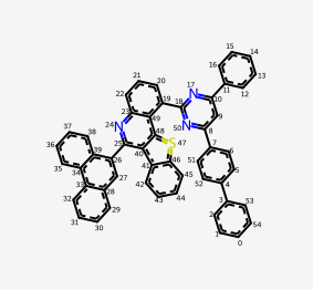 c1ccc(-c2ccc(-c3cc(-c4ccccc4)nc(-c4cccc5nc(-c6cc7ccccc7c7ccccc67)c6c7ccccc7sc6c45)n3)cc2)cc1